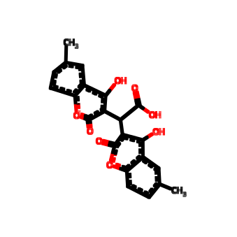 Cc1ccc2oc(=O)c(C(C(=O)O)c3c(O)c4cc(C)ccc4oc3=O)c(O)c2c1